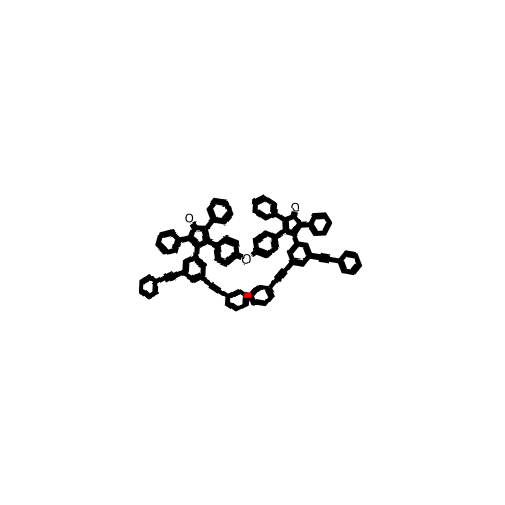 O=C1C(c2ccccc2)=C(c2ccc(Oc3ccc(C4=C(c5ccccc5)C(=O)C(c5ccccc5)=C4c4cc(C#Cc5ccccc5)cc(C#Cc5ccccc5)c4)cc3)cc2)C(c2cc(C#Cc3ccccc3)cc(C#Cc3ccccc3)c2)=C1c1ccccc1